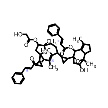 CC1=C2C(CC1)C1(C)OC(C3CC3C3CCC4(C)OC(C5CC5)(CC4OC(=O)CO)C(OC(=O)/C=C/c4ccccc4)/C(C)=C/3C)(CC1O)C2OC(=O)/C=C/c1ccccc1